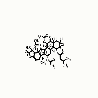 CC(=O)O[C@@H]1[C@H]2[C@@H]3[C@@H](OC(C)=O)C(=O)[C@@]4(O)C[C@@H]5O[C@@H]5[C@H](OC(=O)CC(C)C)[C@]4(C)[C@H]3C[C@H](OC(C)=O)[C@]2(C)[C@@H]2[C@@H]1[C@]1(C)C(=C[C@H]2C)OC(=O)[C@@]1(C)O